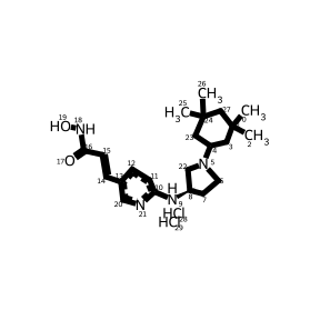 CC1(C)CC(N2CC[C@@H](Nc3ccc(C=CC(=O)NO)cn3)C2)CC(C)(C)C1.Cl.Cl